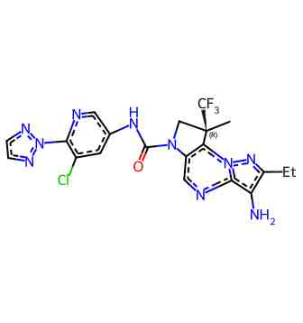 CCc1nn2c3c(cnc2c1N)N(C(=O)Nc1cnc(-n2nccn2)c(Cl)c1)C[C@@]3(C)C(F)(F)F